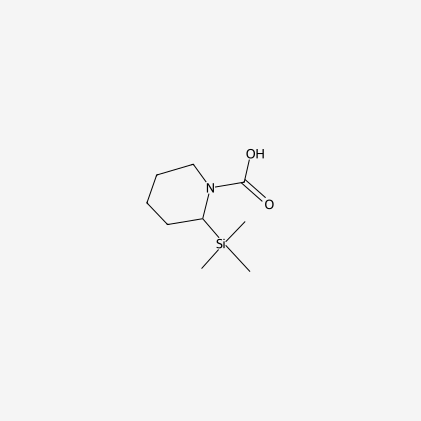 C[Si](C)(C)C1CCCCN1C(=O)O